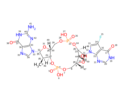 C[C@@H]1[C@@H]2OP(=O)(O)OC[C@H]3O[C@@H](n4cc(F)c5c(=O)[nH]cnc54)[C@H](OP(=O)(O)OC[C@H]2O[C@H]1n1cnc2c(=O)[nH]c(N)nc21)[C@@H]3O